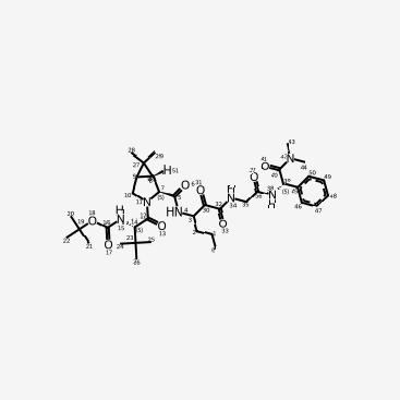 CCCC(NC(=O)[C@@H]1[C@@H]2C(CN1C(=O)[C@@H](NC(=O)OC(C)(C)C)C(C)(C)C)C2(C)C)C(=O)C(=O)NCC(=O)N[C@H](C(=O)N(C)C)c1ccccc1